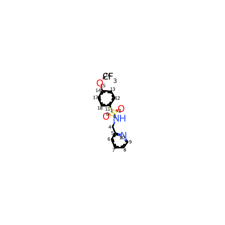 O=S(=O)(NCc1ccccn1)c1ccc(OC(F)(F)F)cc1